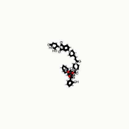 Cc1c(C(=O)N2CCN(C(=O)CCC3CCN(c4ccc5c(c4)C(=O)N(C4CCC(=O)NC4O)C5=O)CC3)CC2)cccc1N1C2CCC1CN(c1cc(-c3ccccc3O)nnc1N)C2